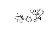 CC1(C)OB(c2ccc(Oc3nc4ccccc4n3CC(=O)O)cc2)OC1(C)C